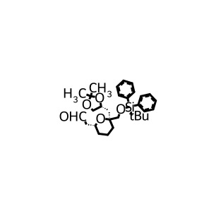 CC1(C)OC[C@@H](C[C@]2(CO[Si](c3ccccc3)(c3ccccc3)C(C)(C)C)CCC[C@H](CC=O)O2)O1